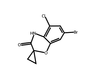 O=C1Nc2c(Cl)cc(Br)cc2OC12CC2